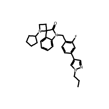 CCCn1cc(-c2ccc(CN3C(=O)C4(CCN4C4CCCC4)c4ccccc43)c(F)c2)cn1